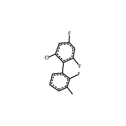 Cc1cccc(-c2c(F)cc(F)cc2Cl)c1F